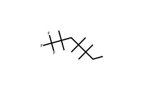 CCC(C)(C)C(C)(C)CC(C)(C)C(F)(F)F